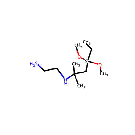 CC[Si](CC(C)(C)NCCN)(OC)OC